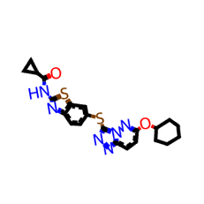 O=C(Nc1nc2ccc(Sc3nnc4ccc(OC5CCCCC5)nn34)cc2s1)C1CC1